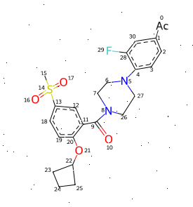 CC(=O)c1ccc(N2CCN(C(=O)c3cc(S(C)(=O)=O)ccc3OC3CCC3)CC2)c(F)c1